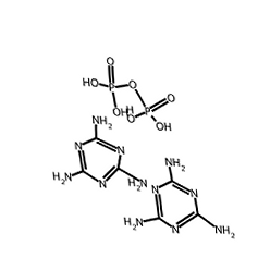 Nc1nc(N)nc(N)n1.Nc1nc(N)nc(N)n1.O=P(O)(O)OP(=O)(O)O